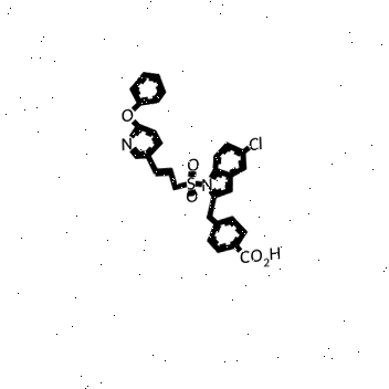 O=C(O)c1ccc(Cc2cc3cc(Cl)ccc3n2S(=O)(=O)CC=Cc2ccc(Oc3ccccc3)nc2)cc1